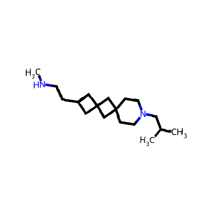 CNCCC1CC2(C1)CC1(CCN(CC(C)C)CC1)C2